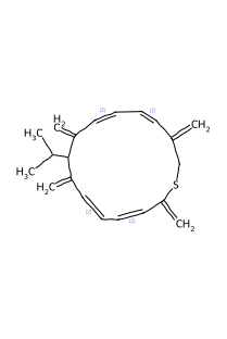 C=C1/C=C\C=C/C(=C)C(C(C)C)C(=C)/C=C\C=C/C(=C)SC1